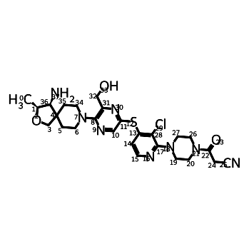 C[C@@H]1OCC2(CCN(c3ncc(Sc4ccnc(N5CCN(C(=O)CC#N)CC5)c4Cl)nc3CO)CC2)[C@@H]1N